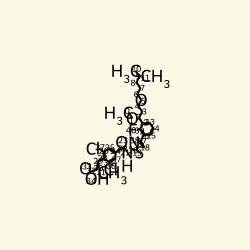 COC(CCOCCCC(C)C)c1cccc(-c2csc(NC(=O)c3cc(Cl)c(C=C(C)C(=O)O)c(Cl)c3)n2)c1F